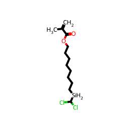 C=C(C)C(=O)OCCCCCCCC[SiH2]C(Cl)Cl